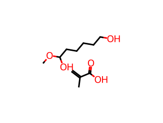 C=C(C)C(=O)O.COC(O)CCCCCO